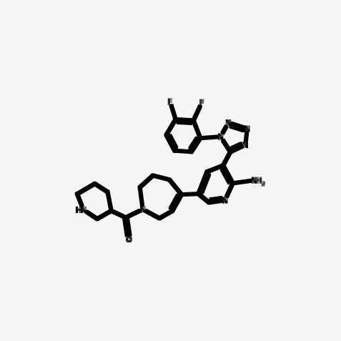 Nc1ncc(C2=CCN(C(=O)C3CCCNC3)CCC2)cc1-c1nnnn1-c1cccc(F)c1F